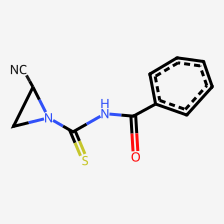 N#CC1CN1C(=S)NC(=O)c1ccccc1